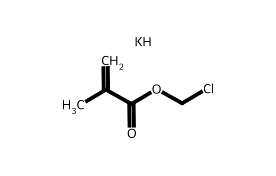 C=C(C)C(=O)OCCl.[KH]